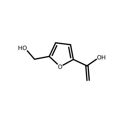 C=C(O)c1ccc(CO)o1